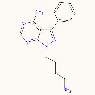 NCCCCn1nc(-c2ccccc2)c2c(N)ncnc21